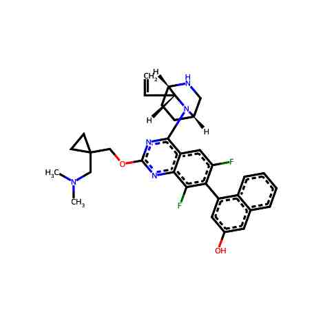 C=C[C@@H]1[C@@H]2CC[C@@H](CN2)N1c1nc(OCC2(CN(C)C)CC2)nc2c(F)c(-c3cc(O)cc4ccccc34)c(F)cc12